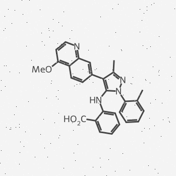 COc1ccnc2cc(-c3c(C)nn(-c4ccccc4C)c3Nc3ccccc3C(=O)O)ccc12